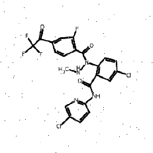 CNN(C(=O)c1ccc(C(=O)C(F)(F)F)cc1F)c1ccc(Cl)cc1C(=O)Nc1ccc(Cl)cn1